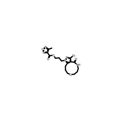 CCc1nn(CCCOC(=O)c2nonc2C)c2c1C(=O)NCCCOCCC2